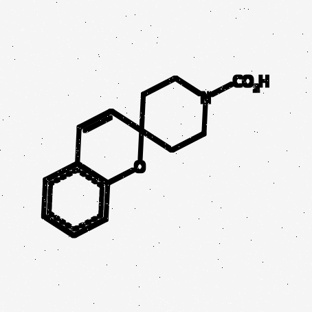 O=C(O)N1CCC2(C=Cc3ccccc3O2)CC1